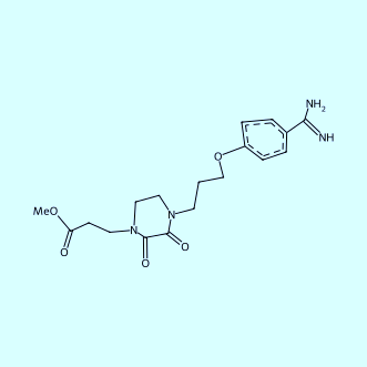 COC(=O)CCN1CCN(CCCOc2ccc(C(=N)N)cc2)C(=O)C1=O